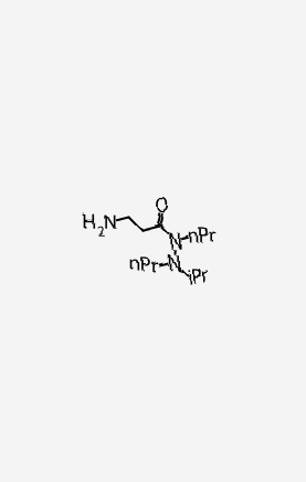 CCCN(C(=O)CCN)N(CCC)C(C)C